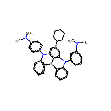 CN(C)c1ccc(N2c3ccccc3B3c4ccccc4N(c4cccc(N(C)C)c4)c4cc(C5CCCCC5)cc2c43)cc1